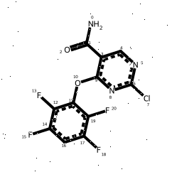 NC(=O)c1cnc(Cl)nc1Oc1c(F)c(F)cc(F)c1F